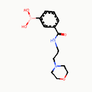 O=C(NCCN1CCOCC1)c1cccc(B(O)O)c1